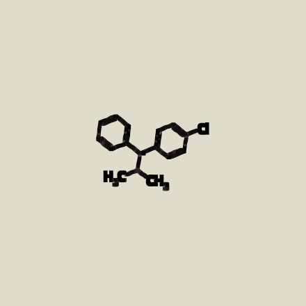 CC(C)[C](c1ccccc1)c1ccc(Cl)cc1